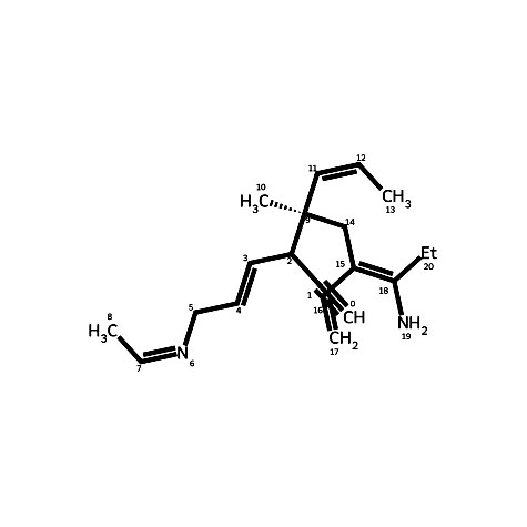 C#CC(/C=C/C/N=C\C)[C@@](C)(/C=C\C)C/C(C=C)=C(/N)CC